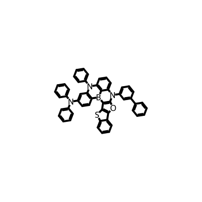 c1ccc(-c2cccc(N3c4cccc5c4B(c4ccc(N(c6ccccc6)c6ccccc6)cc4N5c4ccccc4)c4c3oc3c4sc4ccccc43)c2)cc1